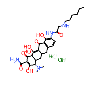 CCCCCCNCC(=O)Nc1ccc2c(c1O)C(=O)C1=C(O)[C@]3(O)C(=O)C(C(N)=O)=C(O)[C@@H](N(C)C)C3CC1C2.Cl.Cl